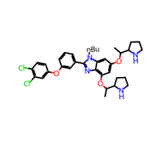 CCCCn1c(-c2cccc(Oc3ccc(Cl)c(Cl)c3)c2)nc2c(OC(C)C3CCCN3)cc(OC(C)C3CCCN3)cc21